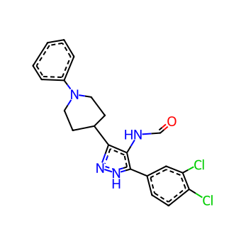 O=CNc1c(C2CCN(c3ccccc3)CC2)n[nH]c1-c1ccc(Cl)c(Cl)c1